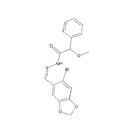 COC(C(=O)N/N=C\c1cc2c(cc1Br)OCO2)c1ccccc1